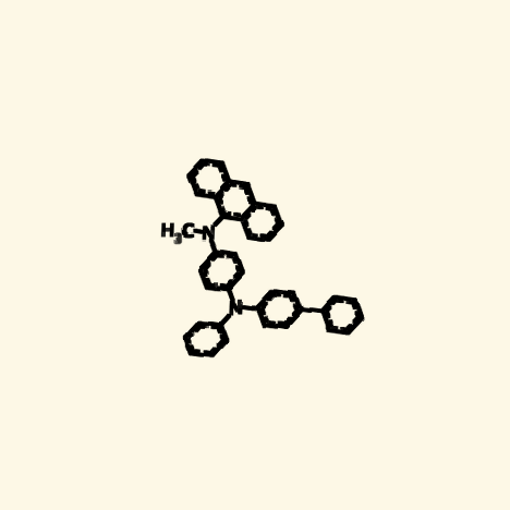 CN(c1ccc(N(c2ccccc2)c2ccc(-c3ccccc3)cc2)cc1)c1c2ccccc2cc2ccccc12